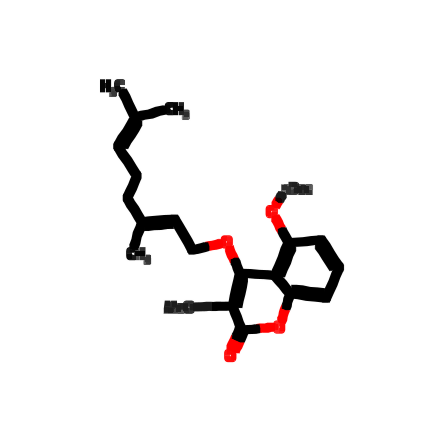 CCCCCCCCCCOc1cccc2oc(=O)c(OC)c(OC/C=C(\C)CCC=C(C)C)c12